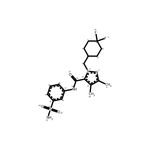 Cc1nn(CC2CCC(F)(F)CC2)c(C(=O)Nc2cccc(S(N)(=O)=O)c2)c1C